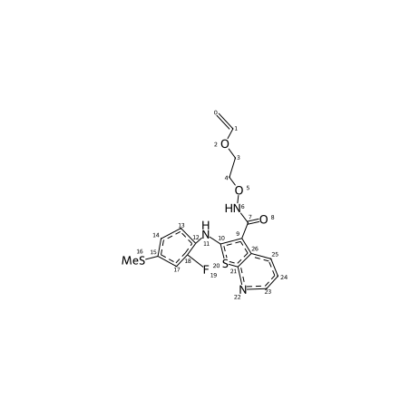 C=COCCONC(=O)c1c(Nc2ccc(SC)cc2F)sc2ncccc12